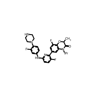 CC1Oc2c(F)cc(-c3nc(Nc4ccc(N5CCNCC5)c(F)c4)ccc3F)cc2N(C(C)C)C1=O